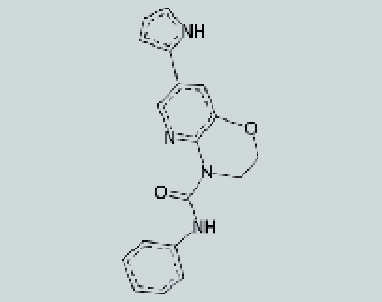 O=C(Nc1ccccc1)N1CCOc2cc(-c3ccc[nH]3)cnc21